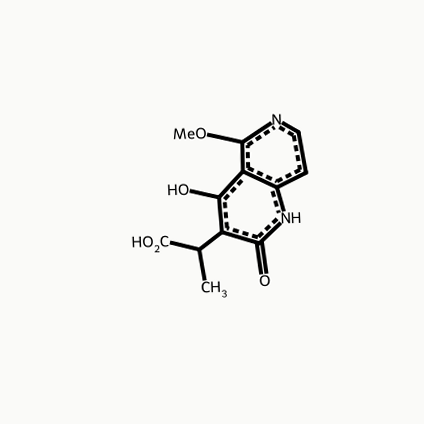 COc1nccc2[nH]c(=O)c(C(C)C(=O)O)c(O)c12